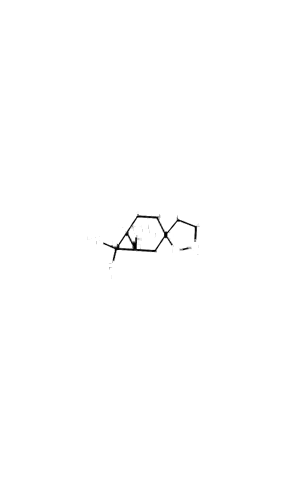 CC12CC3(CCOO3)CCC1C2(F)F